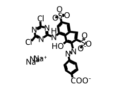 O=C([O-])c1ccc(N=Nc2c(S(=O)(=O)[O-])cc3cc(S(=O)(=O)[O-])cc(Nc4nc(Cl)nc(Cl)n4)c3c2O)cc1.[Na+].[Na+].[Na+]